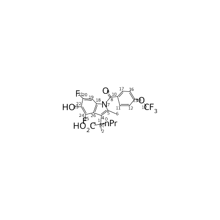 CCC[C@@](C)(C(=O)O)c1c(C)n(C(=O)c2ccc(OC(F)(F)F)cc2)c2cc(F)c(O)c(F)c12